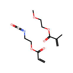 C=C(C)C(=O)OCCOC.C=CC(=O)OCCN=C=O